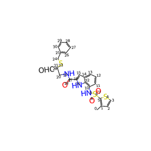 Cc1ccsc1S(=O)(=O)Nc1cccc2cc(C(=O)NCC(C=O)SCc3ccccc3)[nH]c12